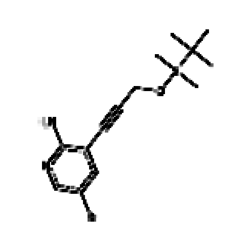 CC(C)(C)[Si](C)(C)OCC#Cc1cc(Br)cnc1N